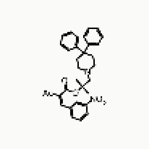 CC(=O)C(=Cc1cccc([N+](=O)[O-])c1)C(=O)OC(C)(C)CN1CCC(c2ccccc2)(c2ccccc2)CC1